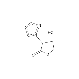 Cl.O=C1OCCC1n1cccn1